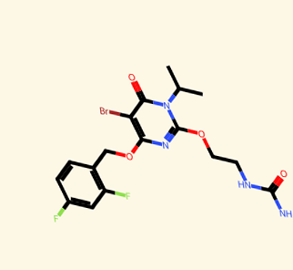 CC(C)n1c(OCCNC(N)=O)nc(OCc2ccc(F)cc2F)c(Br)c1=O